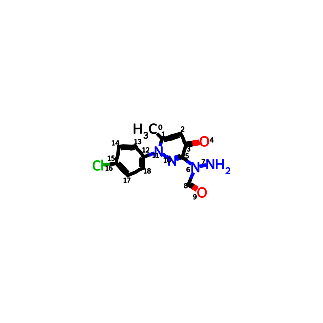 Cc1cc(=O)c(N(N)C=O)nn1-c1ccc(Cl)cc1